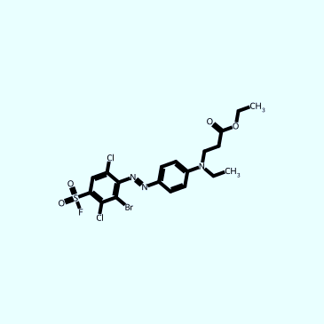 CCOC(=O)CCN(CC)c1ccc(/N=N/c2c(Cl)cc(S(=O)(=O)F)c(Cl)c2Br)cc1